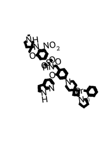 CC(C)c1ccccc1[C@@H]1CCCN1C1CC2(CCN(c3ccc(C(=O)NS(=O)(=O)c4cc5c(c([N+](=O)[O-])c4)NC4(CCN(C)C4)CO5)c(Oc4cnc5[nH]ccc5c4)c3)CC2)C1